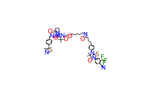 Cc1ncsc1-c1ccc(CNC(=O)[C@@H]2CCCN2C(=O)C(NC(=O)COCCCCCN(C)C(=O)CCCc2ccc(N3C(=S)N(c4ccc(C#N)c(C(F)(F)F)c4)C(=O)C3(C)C)cc2)C(C)(C)C)cc1